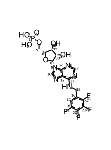 O=P(O)(O)OC[C@H]1O[C@@H](n2cnc3c(NCc4cc(F)c(F)c(F)c4F)ncnc32)[C@H](O)[C@@H]1O